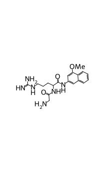 COc1cc(NC(=O)C(CCCNC(=N)N)NC(=O)CN)cc2ccccc12